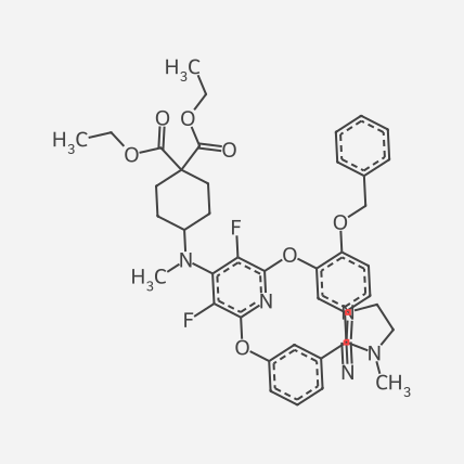 CCOC(=O)C1(C(=O)OCC)CCC(N(C)c2c(F)c(Oc3cccc(C4=NCCN4C)c3)nc(Oc3cc(C#N)ccc3OCc3ccccc3)c2F)CC1